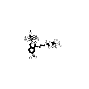 CC(C)(C)OC(=O)NCCNC(=O)c1cc([N+](=O)[O-])ccc1CO[Si](C)(C)C(C)(C)C